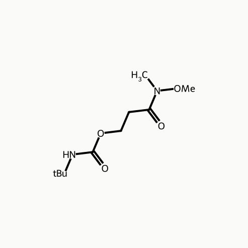 CON(C)C(=O)CCOC(=O)NC(C)(C)C